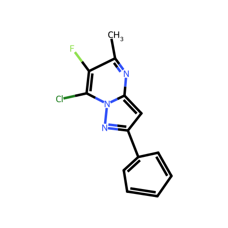 Cc1nc2cc(-c3ccccc3)nn2c(Cl)c1F